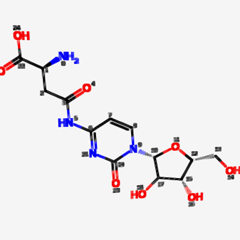 N[C@@H](CC(=O)Nc1ccn([C@@H]2O[C@H](CO)[C@H](O)C2O)c(=O)n1)C(=O)O